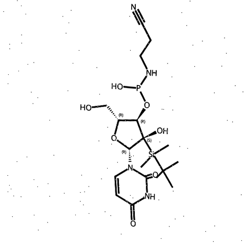 CC(C)(C)[Si](C)(C)[C@@]1(O)[C@H](OP(O)NCCC#N)[C@@H](CO)O[C@H]1n1ccc(=O)[nH]c1=O